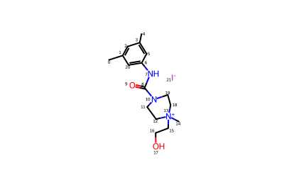 Cc1cc(C)cc(NC(=O)N2CC[N+](C)(CCO)CC2)c1.[I-]